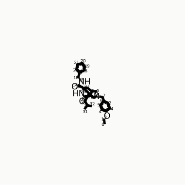 CCOc1ccc(CN2CC3CC4(C(=O)NCc5ccccc5)NC(=O)C3C2C4CC(C)C)cc1